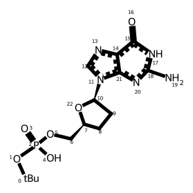 CC(C)(C)OP(=O)(O)OC[C@@H]1CC[C@H](n2cnc3c(=O)[nH]c(N)nc32)O1